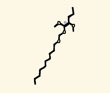 CCCCCCCCCCOCO/C(OC)=C(/CCC)OC